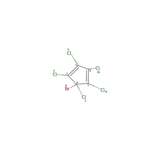 ClC1=C(Cl)C(Cl)(Br)C(Cl)=C1Cl